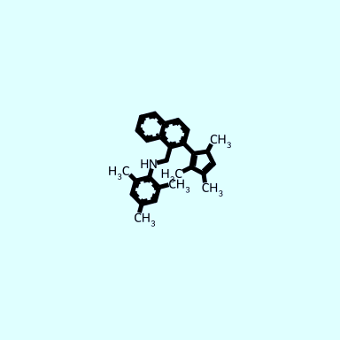 CC1=CC(C)C(c2ccc3ccccc3c2CNc2c(C)cc(C)cc2C)=C1C